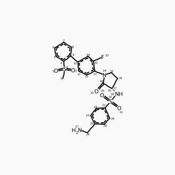 CS(=O)(=O)c1ccccc1-c1ccc(N2CC[C@H](NS(=O)(=O)c3ccc(CN)cc3)C2=O)c(F)c1